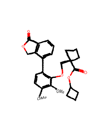 COc1ccc(-c2cccc3c2COC3=O)c(OCC2(C(=O)OC3CCC3)CCC2)c1OC